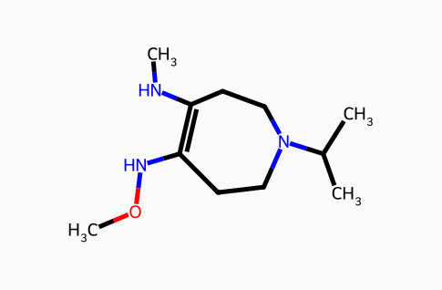 CNC1=C(NOC)CCN(C(C)C)CC1